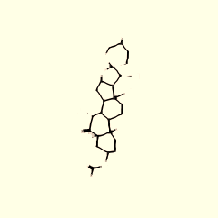 CC(=O)OC1CCC2(C)C3CCC4(C)C(CC5O[C@@]6(CCC(C)CO6)[C@@H](C)C54)C3[C@H](C)C(=O)[C@@]2(O)C1